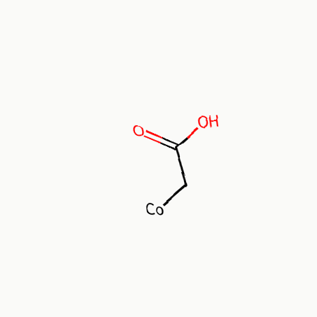 O=C(O)[CH2][Co]